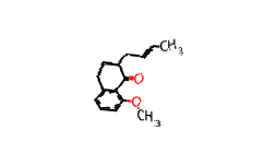 CC=CCC1CCc2cccc(OC)c2C1=O